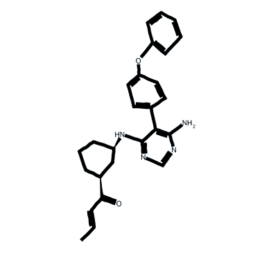 C/C=C/C(=O)[C@H]1CCC[C@@H](Nc2ncnc(N)c2-c2ccc(Oc3ccccc3)cc2)C1